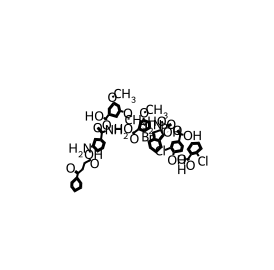 COc1cc(OC)cc(C(=O)O)c1.COc1ccc(Br)c(C(=O)O)c1.NC(=O)c1cccc(N)c1.NC1(P(=O)(O)O)C=c2ccccc2=C1.O=C(O)CCC(=O)c1ccccc1.O=C(O)c1ccc(O)c(Cl)c1.O=C(O)c1ccccc1Cl